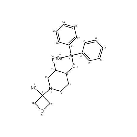 CC(C)(C)[Si](OC1CCN(C2(C#N)COC2)CC1F)(c1ccccc1)c1ccccc1